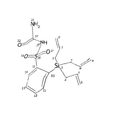 C=CC[Si](CC=C)(CC=C)c1ccccc1S(=O)(=O)NC(N)=O